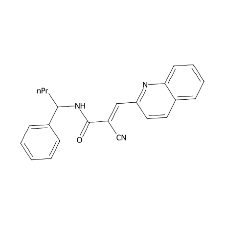 CCCC(NC(=O)/C(C#N)=C/c1ccc2ccccc2n1)c1ccccc1